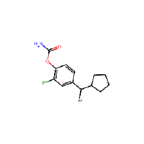 CC(=O)C(c1ccc(OC(N)=O)c(F)c1)C1CCCC1